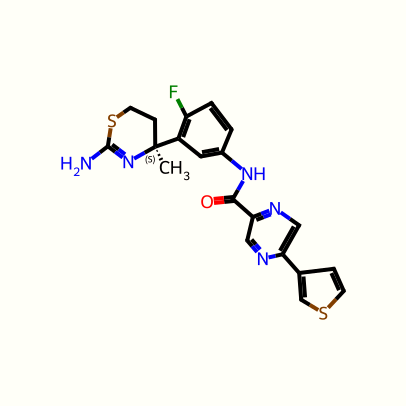 C[C@@]1(c2cc(NC(=O)c3cnc(-c4ccsc4)cn3)ccc2F)CCSC(N)=N1